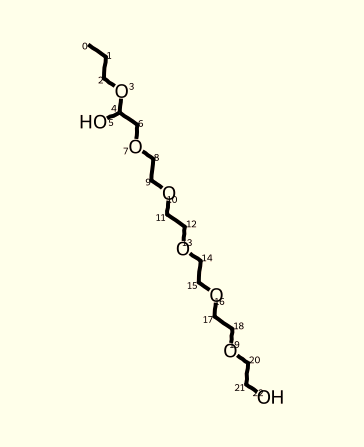 CCCOC(O)COCCOCCOCCOCCOCCO